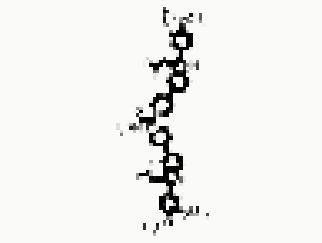 CNC(=O)C(N1CCC(c2ccc3[nH]c(-c4ccc(OC)c(OC)c4)c(CC(F)F)c3c2)CC1)N1CCC(c2ccc3[nH]c(-c4ccc(OC)c(OC)c4)c(CC(F)F)c3c2)CC1